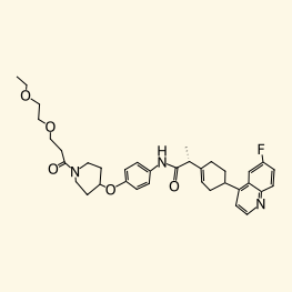 CCOCCOCCC(=O)N1CCC(Oc2ccc(NC(=O)[C@H](C)C3=CCC(c4ccnc5ccc(F)cc45)CC3)cc2)CC1